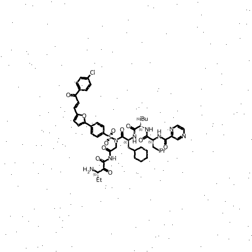 CC[C@H](N)C(=O)C(=O)NC(=O)CN(C(=O)[C@H](CC1CCCCC1)NC(=O)[C@@H](NC(=O)[C@H](CC(C)C)NC(=O)c1cnccn1)[C@@H](C)CC)S(=O)(=O)c1ccc(-c2ccc(C=CC(=O)c3ccc(Cl)cc3)o2)cc1